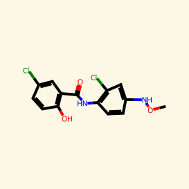 CONc1ccc(NC(=O)c2cc(Cl)ccc2O)c(Cl)c1